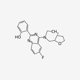 CCN(CC1CCCO1)c1nc(-c2ccccc2O)nc2ccc(F)cc12